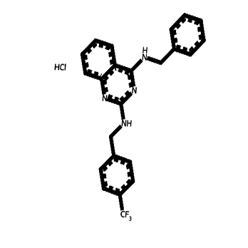 Cl.FC(F)(F)c1ccc(CNc2nc(NCc3ccccc3)c3ccccc3n2)cc1